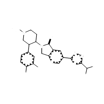 O=C(O)N1CCC(N2Cc3ncc(-c4nnc(C(F)F)o4)cc3C2=O)C(c2ccc(F)c(F)c2)C1